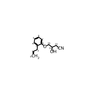 C=CCc1ccccc1OCC(O)CC#N